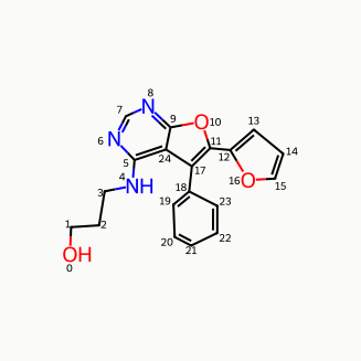 OCCCNc1ncnc2oc(-c3ccco3)c(-c3ccccc3)c12